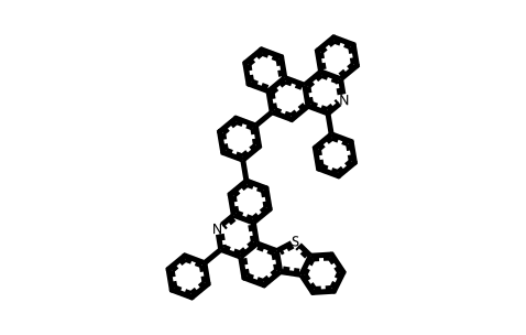 c1ccc(-c2nc3ccccc3c3c2cc(-c2cccc(-c4ccc5c(c4)nc(-c4ccccc4)c4ccc6c7ccccc7sc6c45)c2)c2ccccc23)cc1